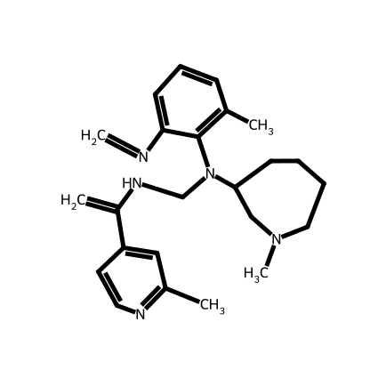 C=Nc1cccc(C)c1N(CNC(=C)c1ccnc(C)c1)C1CCCCN(C)C1